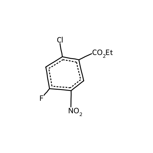 CCOC(=O)c1cc([N+](=O)[O-])c(F)cc1Cl